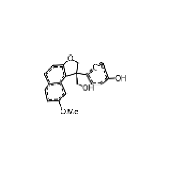 COc1ccc2ccc3c(c2c1)[C@@](CO)(c1ccc(O)cc1)CO3